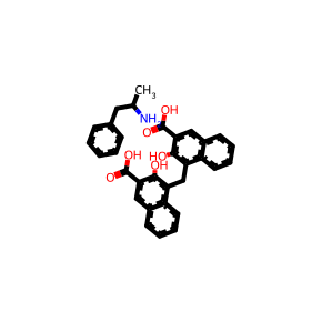 CC(N)Cc1ccccc1.O=C(O)c1cc2ccccc2c(Cc2c(O)c(C(=O)O)cc3ccccc23)c1O